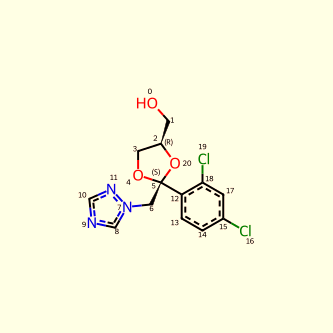 OC[C@@H]1CO[C@@](Cn2cncn2)(c2ccc(Cl)cc2Cl)O1